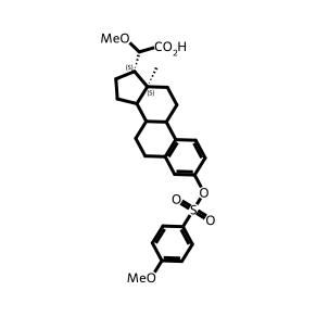 COc1ccc(S(=O)(=O)Oc2ccc3c(c2)CCC2C3CC[C@@]3(C)C2CC[C@@H]3C(OC)C(=O)O)cc1